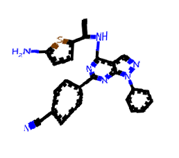 C=C(Nc1nc(-c2ccc(C#N)cc2)nc2c1cnn2-c1ccccc1)c1ccc(N)s1